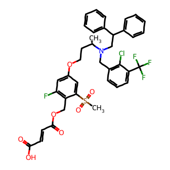 C[C@H](CCOc1cc(F)c(COC(=O)/C=C/C(=O)O)c(S(C)(=O)=O)c1)N(Cc1cccc(C(F)(F)F)c1Cl)CC(c1ccccc1)c1ccccc1